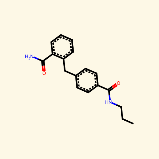 CCCNC(=O)c1ccc(Cc2ccccc2C(N)=O)cc1